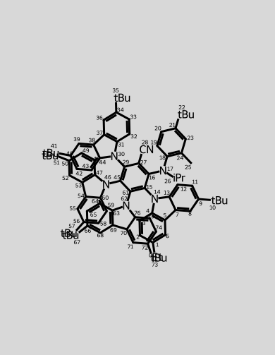 CCc1ccc2c(c1)c1cc(C(C)(C)C)ccc1n2-c1c(N(c2ccc(C(C)(C)C)cc2C)C(C)C)c(C#N)c(-n2c3ccc(C(C)(C)C)cc3c3cc(C(C)(C)C)ccc32)c(-n2c3ccc(C(C)(C)C)cc3c3cc(C(C)(C)C)ccc32)c1-n1c2ccc(C(C)(C)C)cc2c2cc(C(C)(C)C)ccc21